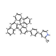 N#Cc1cc(-c2ccc(-c3ccc4c(c3)C(c3ccccc3)(c3ccccc3)c3ccc5ccccc5c3-4)cc2)ccn1